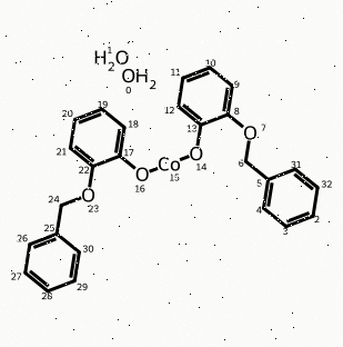 O.O.c1ccc(COc2ccccc2[O][Co][O]c2ccccc2OCc2ccccc2)cc1